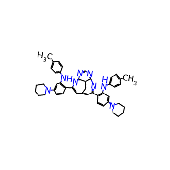 Cc1ccc(Nc2cc(N3CCCCC3)ccc2C2=CC3=CC(c4ccc(N5CCCCC5)cc4Nc4ccc(C)cc4)=NC4=NC=NC(=N2)C4C3)cc1